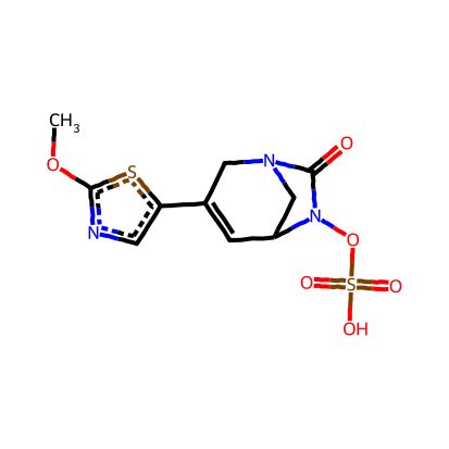 COc1ncc(C2=CC3CN(C2)C(=O)N3OS(=O)(=O)O)s1